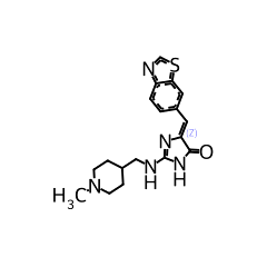 CN1CCC(CNC2=N/C(=C\c3ccc4ncsc4c3)C(=O)N2)CC1